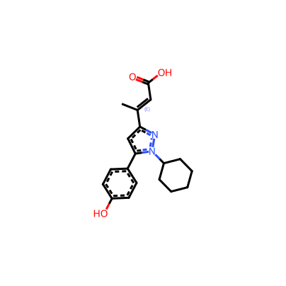 C/C(=C\C(=O)O)c1cc(-c2ccc(O)cc2)n(C2CCCCC2)n1